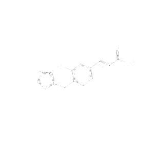 O=C(O)/C=C/c1ccc(Cn2ccnc2)c(Cl)c1